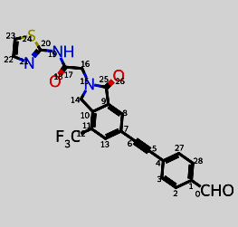 O=Cc1ccc(C#Cc2cc3c(c(C(F)(F)F)c2)CN(CC(=O)Nc2nccs2)C3=O)cc1